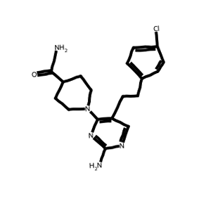 NC(=O)C1CCN(c2nc(N)ncc2CCc2ccc(Cl)cc2)CC1